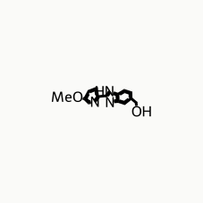 COc1ccc(-c2nc3cc(CO)ccc3[nH]2)nc1